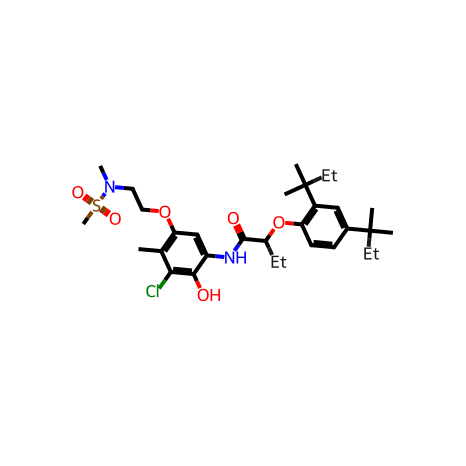 CCC(Oc1ccc(C(C)(C)CC)cc1C(C)(C)CC)C(=O)Nc1cc(OCCN(C)S(C)(=O)=O)c(C)c(Cl)c1O